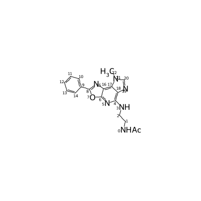 CC(=O)NCCNc1nc2oc(-c3ccccc3)nc2c2c1ncn2C